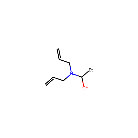 C=CCN(CC=C)C(O)CC